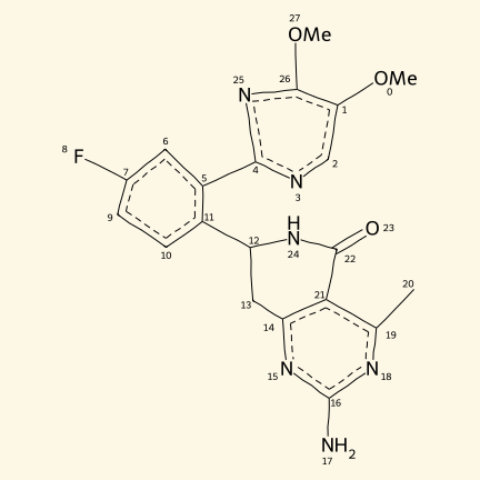 COc1cnc(-c2cc(F)ccc2C2Cc3nc(N)nc(C)c3C(=O)N2)nc1OC